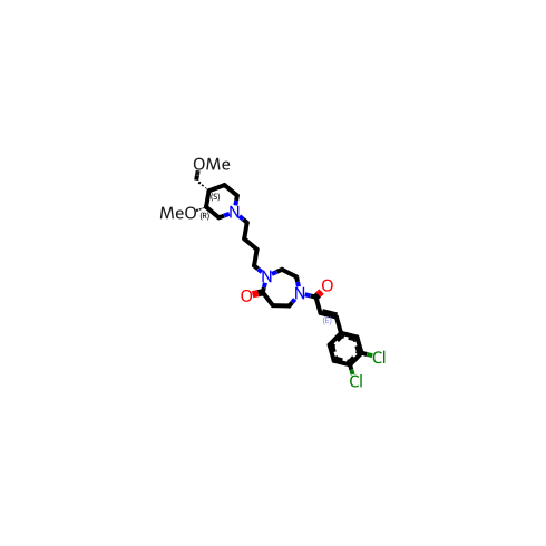 COC[C@@H]1CCN(CCCCN2CCN(C(=O)/C=C/c3ccc(Cl)c(Cl)c3)CCC2=O)C[C@@H]1OC